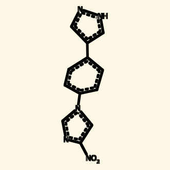 O=[N+]([O-])c1cn(-c2ccc(-c3cn[nH]c3)cc2)cn1